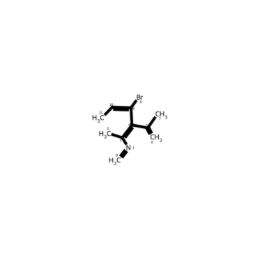 C=N/C(C)=C(C(=C)C)/C(Br)=C\C